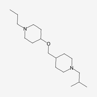 CCCN1CCC(OCC2CCN(CC(C)C)CC2)CC1